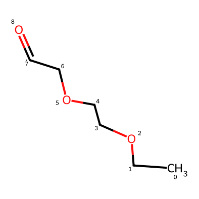 CCOCCOC[C]=O